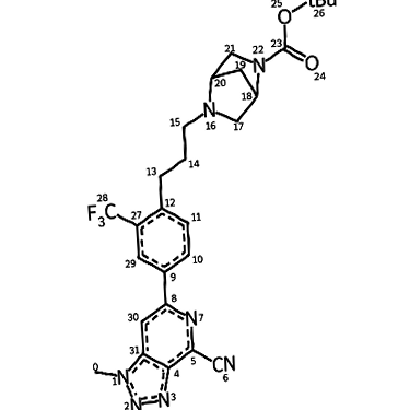 Cn1nnc2c(C#N)nc(-c3ccc(CCCN4CC5CC4CN5C(=O)OC(C)(C)C)c(C(F)(F)F)c3)cc21